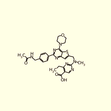 CCc1nc(N(C)Cc2cc3nc(-c4ccc(CNC(C)=O)cc4)nc(N4CCOCC4)c3s2)ncc1C(=O)O